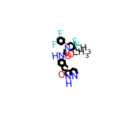 CC1(C)C(=O)N(CC(=O)Nc2ccc3c(c2)C[C@@]2(C3)C(=O)Nc3ncccc32)[C@H](c2cc(F)cc(F)c2)CC1(F)F